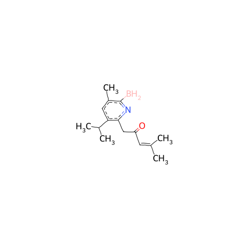 Bc1nc(CC(=O)C=C(C)C)c(C(C)C)cc1C